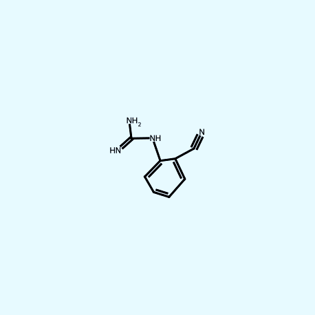 N#Cc1ccccc1NC(=N)N